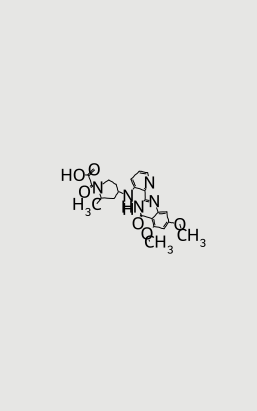 COc1cc(OC)c2c(=O)[nH]c(-c3ncccc3NC3CCN(C(=O)C(=O)O)C(C)C3)nc2c1